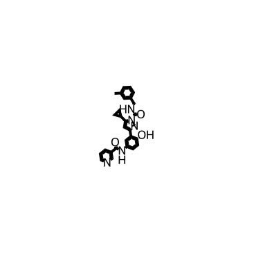 Cc1cccc(CNC(=O)n2nc(-c3cc(NC(=O)c4cccnc4)ccc3O)cc2C2CC2)c1